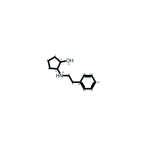 OC1CCCC1NCCc1ccccc1